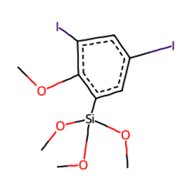 COc1c(I)cc(I)cc1[Si](OC)(OC)OC